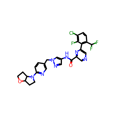 O=C(Nc1cnn(Cc2ccc(N3CCC4OCCC43)nc2)c1)c1cncc(-c2c(C(F)F)ccc(Cl)c2F)n1